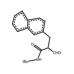 CC(C)(C)NC(=O)C([C]=O)Cc1ccc2ccccc2c1